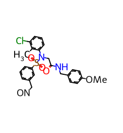 COc1ccc(CNC(=O)CN(c2cccc(Cl)c2C)S(=O)(=O)c2cccc(CN=O)c2)cc1